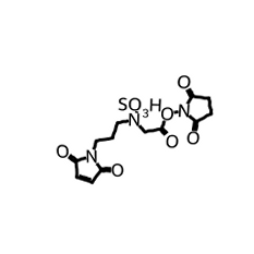 O=C(CN(CCCN1C(=O)C=CC1=O)S(=O)(=O)O)ON1C(=O)CCC1=O